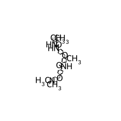 CCC(CC)NC(=O)Nc1ccc(Oc2ccc(NC(=O)c3ccc(OC4CCN(C(C)C)CC4)cc3)cc2C)cc1